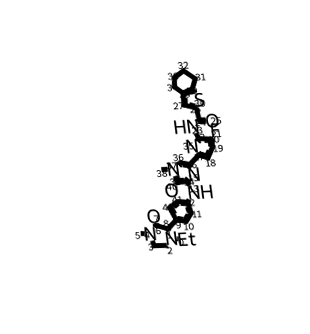 CCN1CCN(C)C(=O)C1c1ccc(Nc2nc(-c3ccc(F)c(NC(=O)c4cc5c(s4)CCCC5)n3)cn(C)c2=O)cc1